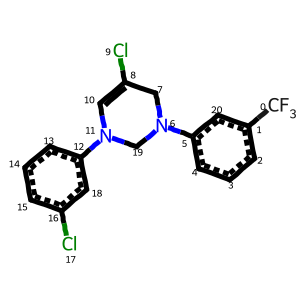 FC(F)(F)c1cccc(N2CC(Cl)=CN(c3cccc(Cl)c3)C2)c1